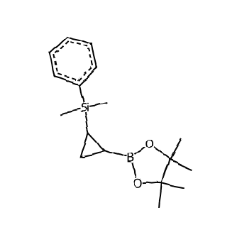 CC1(C)OB(C2CC2[Si](C)(C)c2ccccc2)OC1(C)C